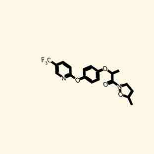 CC1CCN(C(=O)C(C)Oc2ccc(Oc3ccc(C(F)(F)F)cn3)cc2)O1